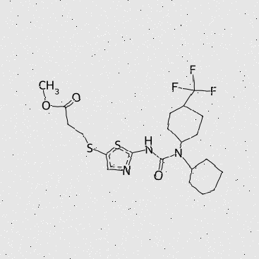 COC(=O)CCSc1cnc(NC(=O)N(C2CCCCC2)C2CCC(C(F)(F)F)CC2)s1